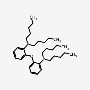 CCCCCP(CCCCC)c1ccccc1Oc1ccccc1P(CCCCC)CCCCC